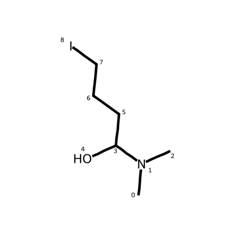 CN(C)C(O)CCCI